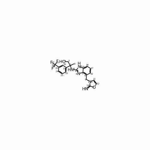 CC(CO)(Nc1nc2c(Cn3ccoc3=N)cccc2[nH]1)c1cccc(C(F)(F)F)c1